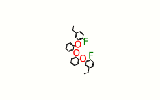 CCc1ccc(F)c(Oc2ccccc2Oc2ccccc2Oc2cc(CC)ccc2F)c1